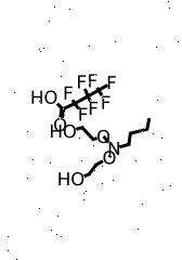 CCCCN(OCCO)OCCO.O=C(O)C(F)(F)C(F)(F)C(F)(F)F